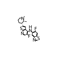 C[C@H]1[C@H](c2cc3c(Nc4cc5ncsc5cc4F)c(F)cnc3s2)CCCN1C